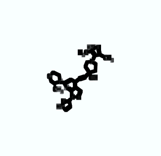 Cc1n[nH]c(C)c1N1CCC(O)(C#Cc2cc(N3CCOC[C@H]3C)nc3c2cnn3-c2cc[nH]n2)CC1